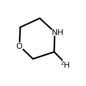 [2H]C1COCCN1